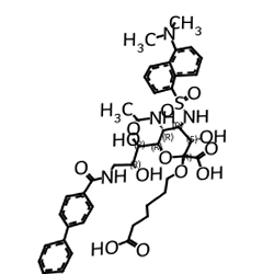 CC(=O)N[C@@H]1[C@@H](NS(=O)(=O)c2cccc3c(N(C)C)cccc23)[C@H](O)[C@](OCCCCCC(=O)O)(C(=O)O)O[C@H]1[C@H](O)[C@H](O)CNC(=O)c1ccc(-c2ccccc2)cc1